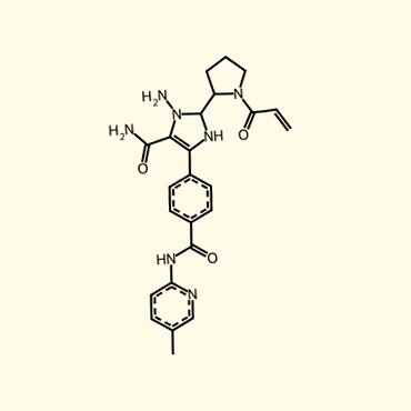 C=CC(=O)N1CCCC1C1NC(c2ccc(C(=O)Nc3ccc(C)cn3)cc2)=C(C(N)=O)N1N